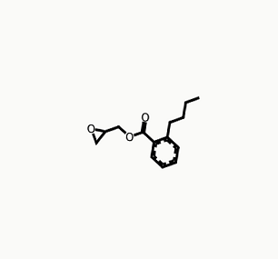 CCCCc1ccccc1C(=O)OCC1CO1